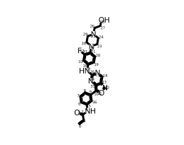 C=CC(=O)Nc1cccc(-c2onc3cnc(Nc4ccc(N5CCN(CCO)CC5)c(F)c4)nc23)c1